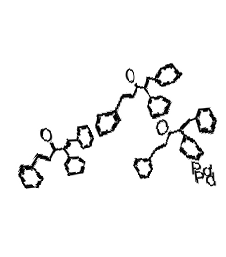 O=C(C=Cc1ccccc1)C(=Cc1ccccc1)c1ccccc1.O=C(C=Cc1ccccc1)C(=Cc1ccccc1)c1ccccc1.O=C(C=Cc1ccccc1)C(=Cc1ccccc1)c1ccccc1.[Pd].[Pd]